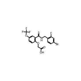 O=C(O)COc1ccc(OC(F)(F)F)cc1C(=S)NCc1ccc(Br)cc1F